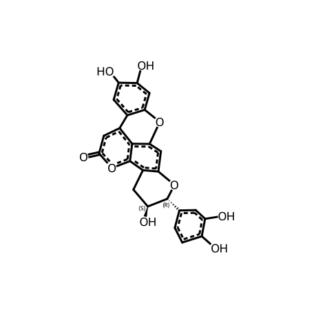 O=c1cc2c3c(cc4c(c3o1)C[C@H](O)[C@@H](c1ccc(O)c(O)c1)O4)Oc1cc(O)c(O)cc1-2